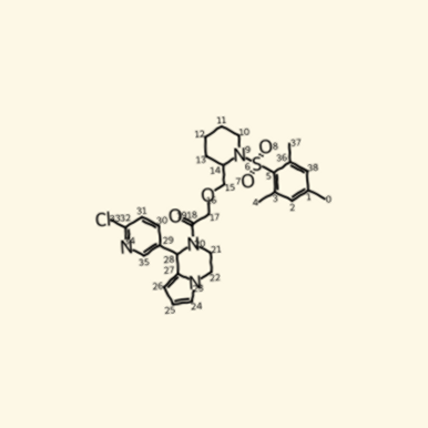 Cc1cc(C)c(S(=O)(=O)N2CCCCC2COCC(=O)N2CCn3cccc3C2c2ccc(Cl)nc2)c(C)c1